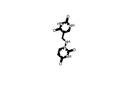 O=c1ccn(NCc2c[nH]c(=O)[nH]c2=O)c(=O)[nH]1